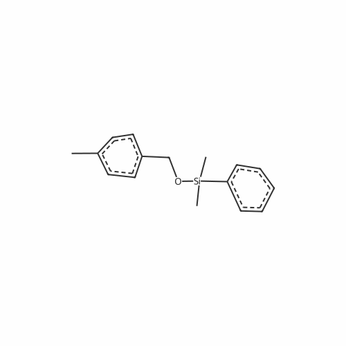 Cc1ccc(CO[Si](C)(C)c2ccccc2)cc1